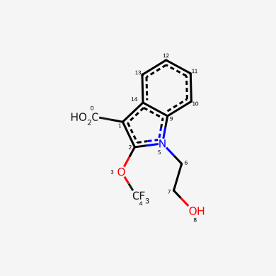 O=C(O)c1c(OC(F)(F)F)n(CCO)c2ccccc12